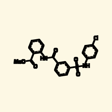 COC(=O)c1ccccc1NC(=O)c1cccc(S(=O)(=O)Nc2ccc(Cl)cc2)c1